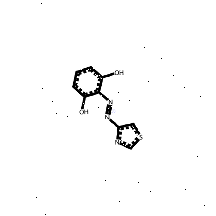 Oc1cccc(O)c1/N=N/c1cscn1